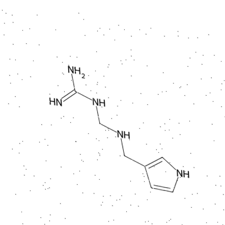 N=C(N)NCNCc1cc[nH]c1